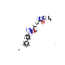 CNC(=O)CCCCCC(=O)N/N=C/c1ccc(-c2ccccc2)cc1